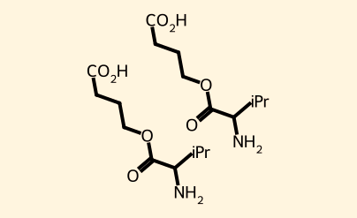 CC(C)C(N)C(=O)OCCCC(=O)O.CC(C)C(N)C(=O)OCCCC(=O)O